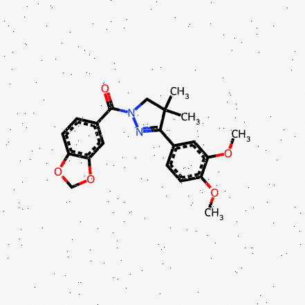 COc1ccc(C2=NN(C(=O)c3ccc4c(c3)OCO4)CC2(C)C)cc1OC